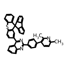 Cc1ccc(-c2ccc(-c3nc(-c4ccc5c(c4)C4(c6ccccc6S5)c5ccccc5-c5ccccc54)c4ccccc4n3)cc2)c(C)n1